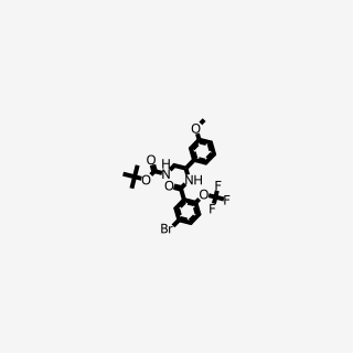 COc1cccc(C(CNC(=O)OC(C)(C)C)NC(=O)c2cc(Br)ccc2OC(F)(F)F)c1